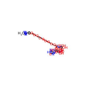 Cc1nnc(-c2ccc(OCCOCCOCCOCCOCCOCCOCCOCCOCCC(=O)NCC3O[C@H](OP(=O)(O)OP(=O)(O)OC[C@H]4O[C@@H](n5cnc6c(=O)[nH]c(N)cc65)C(O)C4O)C(O)C(O)[C@@H]3O)cc2)nn1